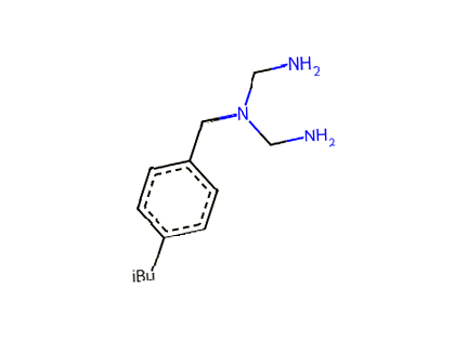 CCC(C)c1ccc(CN(CN)CN)cc1